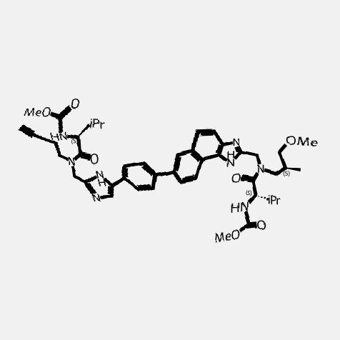 C#CCCN(Cc1ncc(-c2ccc(-c3ccc4c(ccc5nc(CN(C[C@H](C)COC)C(=O)[C@@H](NC(=O)OC)C(C)C)[nH]c54)c3)cc2)[nH]1)C(=O)[C@@H](NC(=O)OC)C(C)C